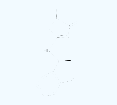 CC1SC(N[C@@H](C)c2ccccc2F)=NC1=O